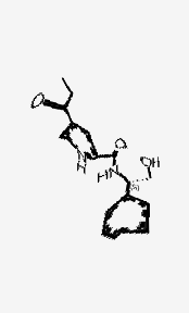 CCC(=O)c1c[nH]c(C(=O)N[C@H](CO)c2ccccc2)c1